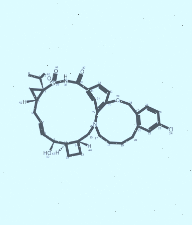 CC(C)[C@]12C[C@H]1C/C=C/[C@H](O)[C@@H]1CC[C@H]1CN1CCCCc3cc(Cl)ccc3COc3ccc(cc31)C(=O)NS2(=O)=O